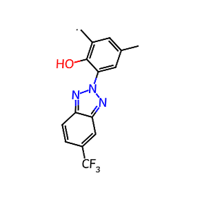 [CH2]c1cc(C)cc(-n2nc3ccc(C(F)(F)F)cc3n2)c1O